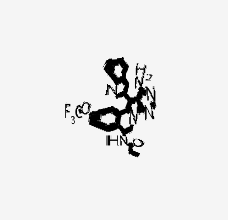 C=CC(=O)NC1Cn2c(c(-c3cnc4ccccc4c3)c3c(N)ncnc32)-c2cc(OC(F)(F)F)ccc21